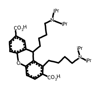 CC(C)N(CCCCc1c(C(=O)O)ccc2c1C(CCCCN(C(C)C)C(C)C)c1cc(C(=O)O)ccc1O2)C(C)C